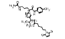 [CH2]c1ccc(NC(=O)[C@H](CCCNC(N)=O)n2cc([C@@H](NC(=O)CCCCCN3C(=O)C=CC3=O)C(C)C)nn2)cc1